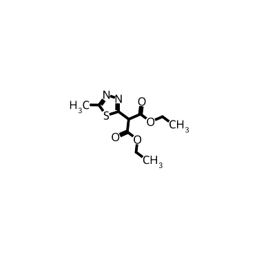 CCOC(=O)C(C(=O)OCC)c1nnc(C)s1